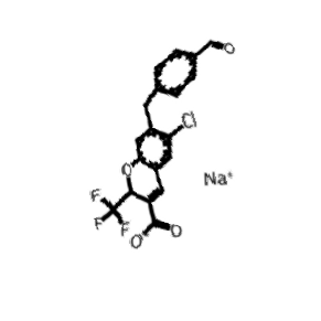 O=Cc1ccc(Cc2cc3c(cc2Cl)C=C(C(=O)[O-])C(C(F)(F)F)O3)cc1.[Na+]